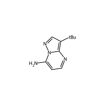 CC(C)(C)c1cnn2c(N)ccnc12